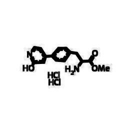 COC(=O)C(N)Cc1ccc(-c2ccnc(O)c2)cc1.Cl.Cl